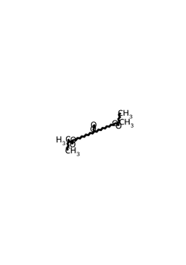 CCCCC(C)C(=O)OCCCCCCCCCC(CCCCCCCCCOC(=O)C(C)CCCC)OC=O